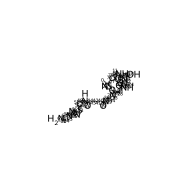 Cc1ncsc1-c1ccc([C@H](C)NC(=O)[C@@H]2C[C@@H](O)CN2C(=O)[C@@H](NC(=O)[C@@H]2C[C@H]2C(=O)N2CCC3(CN(C(=O)CCCCCC(=O)Nc4cccc(Sc5cnc(N6CCC(C)(N)CC6)cn5)c4)C3)C2)C(C)(C)C)cc1